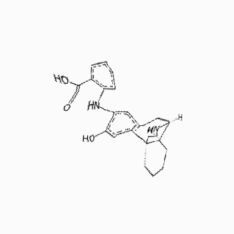 O=C(O)c1ccccc1Nc1cc2c(cc1O)[C@]13CCCC[C@@H]1[C@H](C2)NCC3